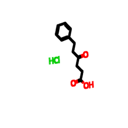 Cl.O=C(O)CCC(=O)CCc1ccccc1